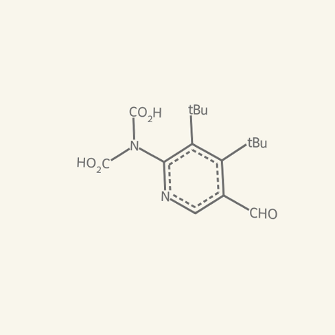 CC(C)(C)c1c(C=O)cnc(N(C(=O)O)C(=O)O)c1C(C)(C)C